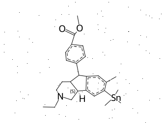 CCN1CCC2C(c3ccc(C(=O)OC)cc3)c3cc(C)[c]([Sn]([CH3])([CH3])[CH3])cc3[C@H]2C1